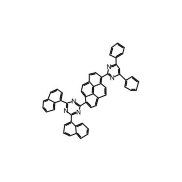 c1ccc(-c2cc(-c3ccccc3)nc(-c3ccc4ccc5c(-c6nc(-c7cccc8ccccc78)nc(-c7cccc8ccccc78)n6)ccc6ccc3c4c65)n2)cc1